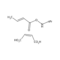 CC=CC(=O)ONCCC.O=C(O)/C=C\C(=O)O